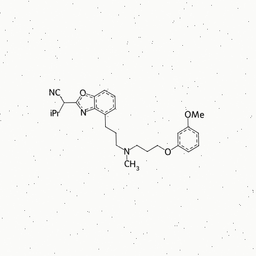 COc1cccc(OCCCN(C)CCCc2cccc3oc(C(C#N)C(C)C)nc23)c1